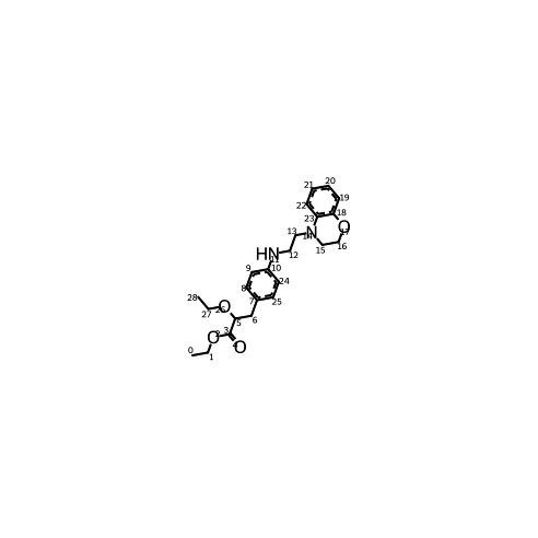 CCOC(=O)C(Cc1ccc(NCCN2CCOc3ccccc32)cc1)OCC